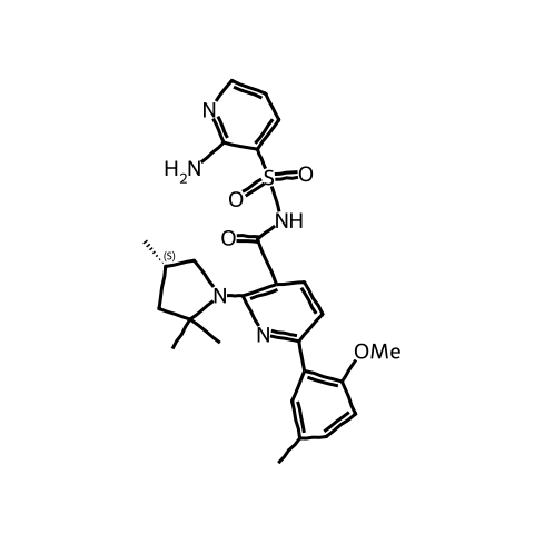 COc1ccc(C)cc1-c1ccc(C(=O)NS(=O)(=O)c2cccnc2N)c(N2C[C@@H](C)CC2(C)C)n1